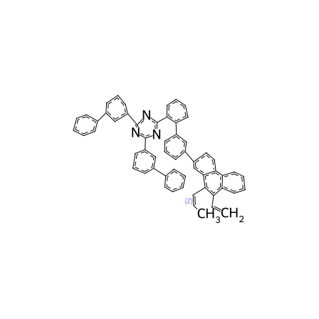 C=Cc1c(/C=C\C)c2cc(-c3cccc(-c4ccccc4-c4nc(-c5cccc(-c6ccccc6)c5)nc(-c5cccc(-c6ccccc6)c5)n4)c3)ccc2c2ccccc12